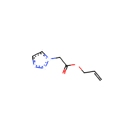 C=CCOC(=O)Cn1ccnn1